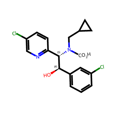 O=C(O)N(CC1CC1)[C@@H](c1ccc(Cl)cn1)[C@H](O)c1cccc(Cl)c1